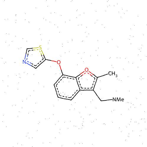 CNCc1c(C)oc2c(Oc3cncs3)cccc12